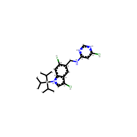 CC(C)[Si](C(C)C)(C(C)C)n1cc(Cl)c2cc(CNc3cc(Cl)ncn3)c(F)cc21